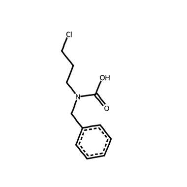 O=C(O)N(CCCCl)Cc1ccccc1